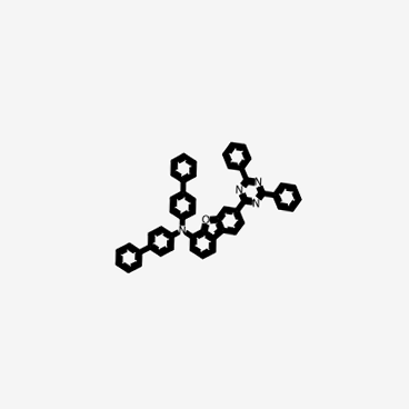 c1ccc(-c2ccc(N(c3ccc(-c4ccccc4)cc3)c3cccc4c3oc3cc(-c5nc(-c6ccccc6)nc(-c6ccccc6)n5)ccc34)cc2)cc1